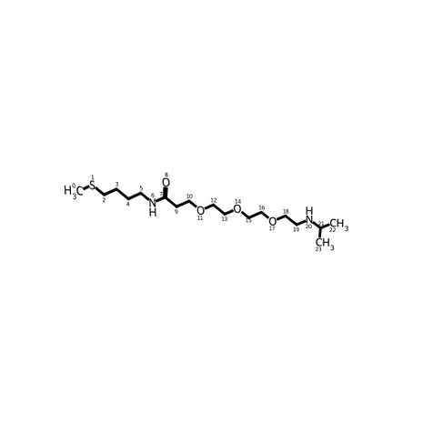 CSCCCCNC(=O)CCOCCOCCOCCNC(C)C